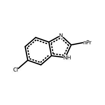 [CH2]CCc1nc2ccc(Cl)cc2[nH]1